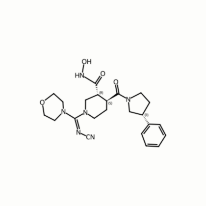 N#CN=C(N1CCOCC1)N1CC[C@H](C(=O)N2CC[C@H](c3ccccc3)C2)[C@@H](C(=O)NO)C1